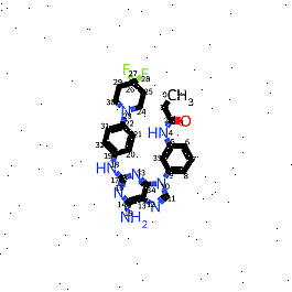 CCC(=O)Nc1cccc(-n2cnc3c(N)nc(Nc4ccc(N5CCC(F)(F)CC5)cc4)nc32)c1